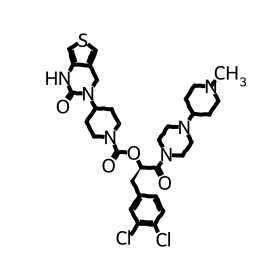 CN1CCC(N2CCN(C(=O)[C@@H](Cc3ccc(Cl)c(Cl)c3)OC(=O)N3CCC(N4Cc5cscc5NC4=O)CC3)CC2)CC1